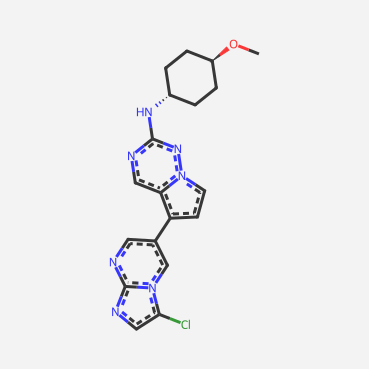 CO[C@H]1CC[C@H](Nc2ncc3c(-c4cnc5ncc(Cl)n5c4)ccn3n2)CC1